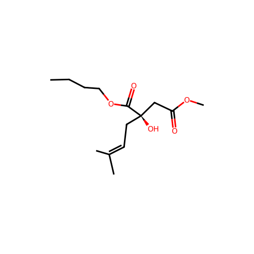 CCCCOC(=O)[C@@](O)(CC=C(C)C)CC(=O)OC